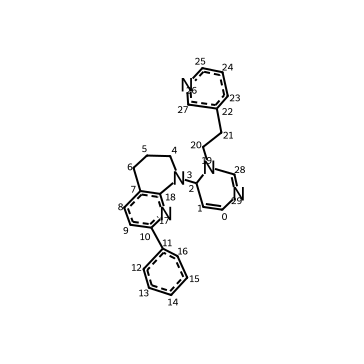 C1=CC(N2CCCc3ccc(-c4ccccc4)nc32)N(CCc2cccnc2)C=N1